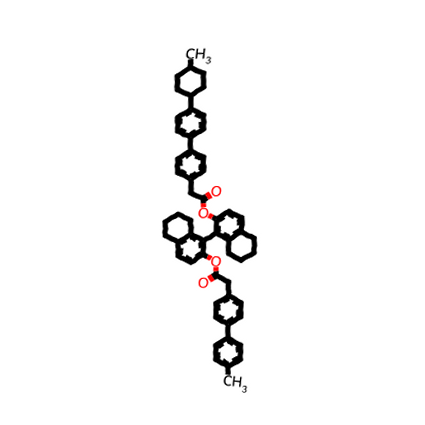 Cc1ccc(-c2ccc(CC(=O)Oc3ccc4c(c3-c3c(OC(=O)Cc5ccc(-c6ccc(C7CCC(C)CC7)cc6)cc5)ccc5c3CCCC5)CCCC4)cc2)cc1